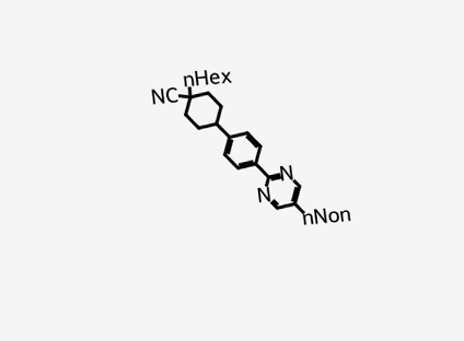 CCCCCCCCCc1cnc(-c2ccc(C3CCC(C#N)(CCCCCC)CC3)cc2)nc1